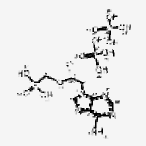 C[C@H](Cn1cnc2c(N)ncnc21)OCP(=O)(O)O.O=P(O)(O)O.O=P(O)(O)O